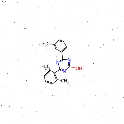 Cc1cccc(C)c1-c1nc(O)nc(-c2cccc(C(F)(F)F)c2)n1